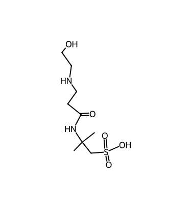 CC(C)(CS(=O)(=O)O)NC(=O)CCNCCO